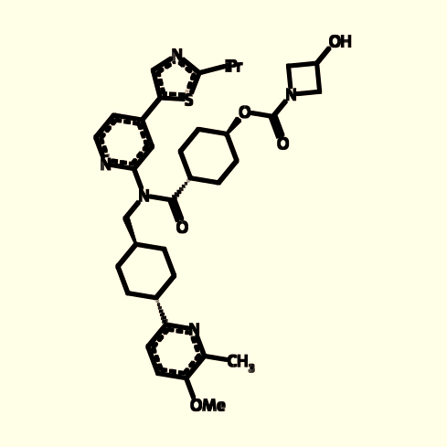 COc1ccc([C@H]2CC[C@H](CN(c3cc(-c4cnc(C(C)C)s4)ccn3)C(=O)[C@H]3CC[C@H](OC(=O)N4CC(O)C4)CC3)CC2)nc1C